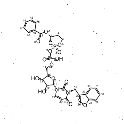 O=C(OC1CCOP(=O)(OP(=O)(O)OC[C@H]2O[C@@H](n3ccc(=O)n(Cc4noc5ccccc45)c3=O)C(O)[C@H]2O)O1)c1ccccc1